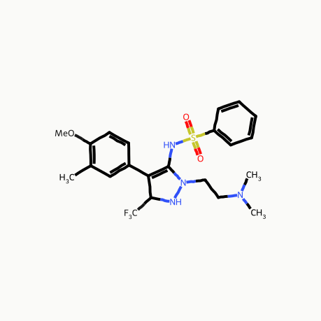 COc1ccc(C2=C(NS(=O)(=O)c3ccccc3)N(CCN(C)C)NC2C(F)(F)F)cc1C